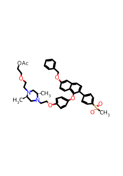 CC(=O)OCCOCCN1C[C@H](C)N(CCOc2ccc(Oc3c(-c4ccc(S(C)(=O)=O)cc4)ccc4cc(OCc5ccccc5)ccc34)cc2)C[C@H]1C